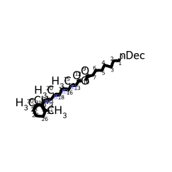 CCCCCCCCCCCCCCCCCC(=O)OC(=O)/C=C(C)/C=C/C=C(C)/C=C/C1=C(C)CCCC1(C)C